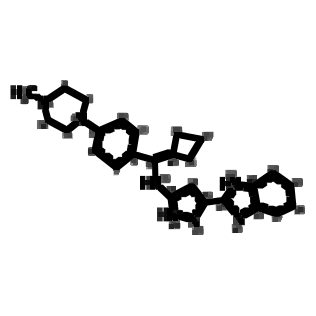 CN1CCN(c2ccc(C(Nc3cc(-c4nc5ccccc5[nH]4)n[nH]3)=C3CCC3)cc2)CC1